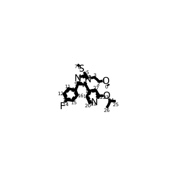 COCCn1c(SC)nc(-c2ccc(F)cc2)c1-c1ccnc(OC(C)C)c1